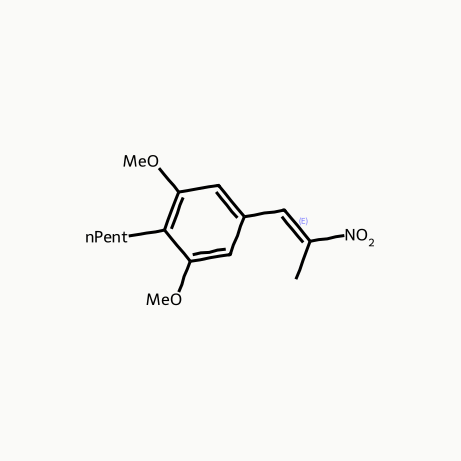 CCCCCc1c(OC)cc(/C=C(\C)[N+](=O)[O-])cc1OC